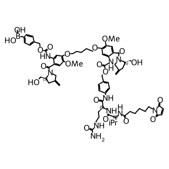 C=C1C[C@@H](CO)N(C(=O)c2cc(OC)c(OCCCCCOc3cc(NC(=O)OCc4ccc(B(O)O)cc4)c(C(=O)N4CC(=C)C[C@H]4CO)cc3OC)cc2NC(=O)OCc2ccc(NC(=O)[C@H](CCCNC(N)=O)NC(=O)[C@@H](NC(=O)CCCCCN3C(=O)C=CC3=O)C(C)C)cc2)C1